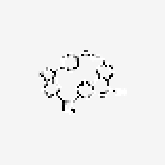 COc1ccc(-c2cnc3ccc(C4=CN=C4c4ccc(-c5ccccc5C(=O)O)cc4)cn23)cc1